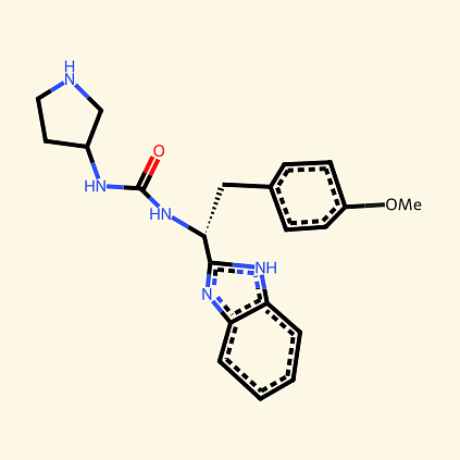 COc1ccc(C[C@@H](NC(=O)NC2CCNC2)c2nc3ccccc3[nH]2)cc1